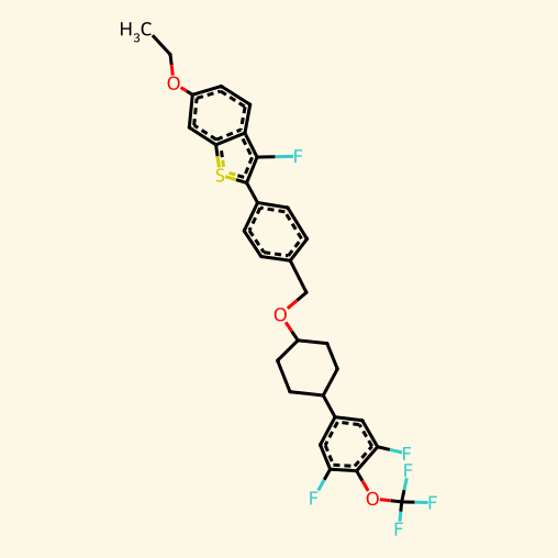 CCOc1ccc2c(F)c(-c3ccc(COC4CCC(c5cc(F)c(OC(F)(F)F)c(F)c5)CC4)cc3)sc2c1